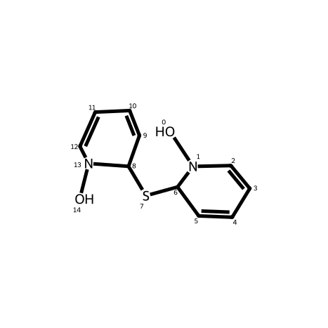 ON1C=CC=CC1SC1C=CC=CN1O